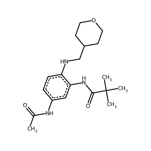 CC(=O)Nc1ccc(NCC2CCOCC2)c(NC(=O)C(C)(C)C)c1